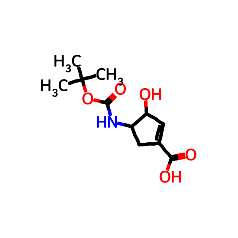 CC(C)(C)OC(=O)NC1CC(C(=O)O)=CC1O